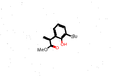 C=C(C(=O)OC)c1cccc(C(C)(C)C)c1O